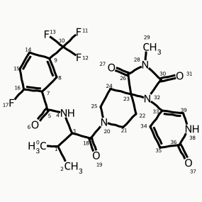 CC(C)C(NC(=O)c1cc(C(F)(F)F)ccc1F)C(=O)N1CCC2(CC1)C(=O)N(C)C(=O)N2c1ccc(=O)[nH]c1